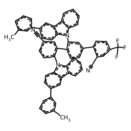 Cc1cccc(-c2ccc3c(c2)c2ccccc2n3-c2ccc(C#N)cc2-c2ccc(-c3ccc(C(F)(F)F)cc3C#N)cc2-n2c3ccccc3c3cc(-c4cccc(C)c4)ccc32)c1